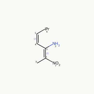 C/C(=C(N)\C=C/C(C)C)[N+](=O)[O-]